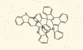 c1ccc2c(c1)-c1ccccc1C21c2ccccc2-c2c1c1c(c3ccccc23)c2ccccc2n1-c1nc(-c2ccc3sc4ccccc4c3c2)nc2ccccc12